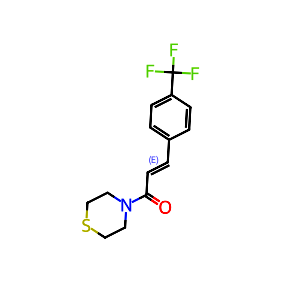 O=C(/C=C/c1ccc(C(F)(F)F)cc1)N1CCSCC1